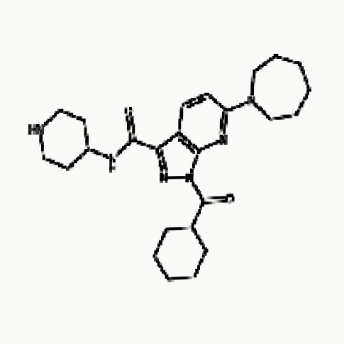 O=C(NC1CCNCC1)c1nn(C(=O)C2CCCCC2)c2nc(N3CCCCCC3)ccc12